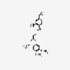 CCCC(CCCOc1ccc(C=O)cc1Cl)Cc1ccc(C)c(C)c1